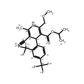 COCC1=C(C(=O)OC(C)C)C(c2ccc(C(F)(F)F)cc2C(F)(F)F)C(C#N)=C(C)N1